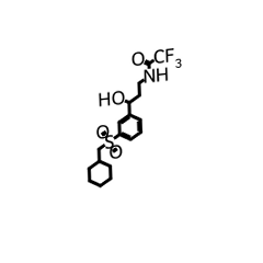 O=C(NCCC(O)c1cccc(S(=O)(=O)CC2CCCCC2)c1)C(F)(F)F